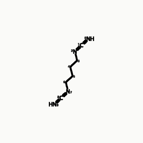 N=C=NCCCCN=C=N